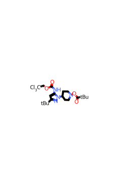 CC(C)(C)C(=O)ON1CCC(n2nc(C(C)(C)C)cc2NC(=O)OCC(Cl)(Cl)Cl)CC1